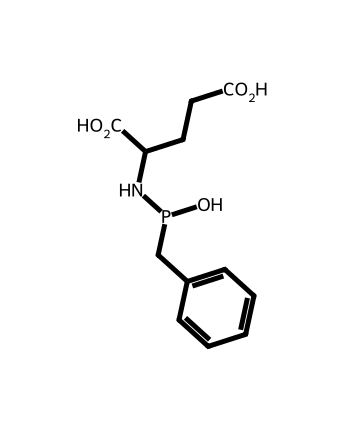 O=C(O)CCC(NP(O)Cc1ccccc1)C(=O)O